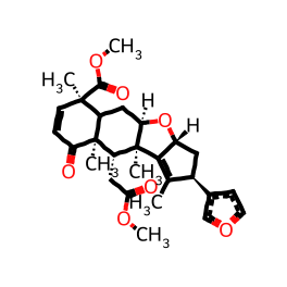 COC(=O)C[C@H]1[C@]2(C)C3=C(C)[C@H](c4ccoc4)C[C@H]3O[C@@H]2CC2[C@](C)(C(=O)OC)C=CC(=O)[C@@]21C